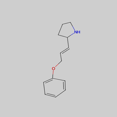 C(=CC1CCCN1)COc1ccccc1